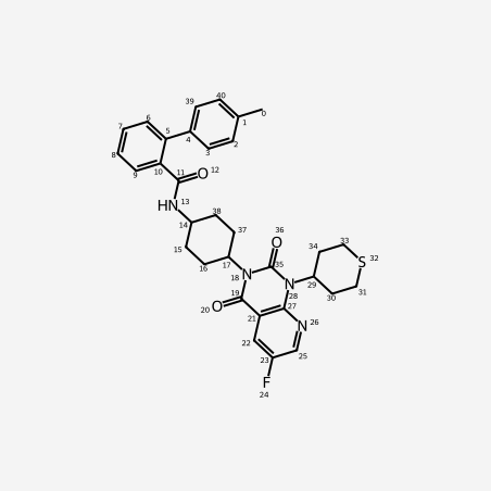 Cc1ccc(-c2ccccc2C(=O)NC2CCC(n3c(=O)c4cc(F)cnc4n(C4CCSCC4)c3=O)CC2)cc1